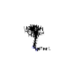 CCCCC/C=C\C/C=C\CCCCCCCC(=O)O[C@@H]1[C@@H](O)[C@@H](O[C@H]2O[C@H](CO)[C@@H](O)[C@H](O)[C@H]2O)O[C@H](CO)[C@H]1O